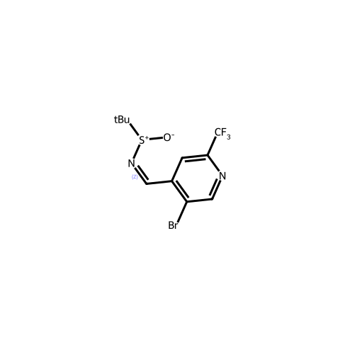 CC(C)(C)[S+]([O-])/N=C\c1cc(C(F)(F)F)ncc1Br